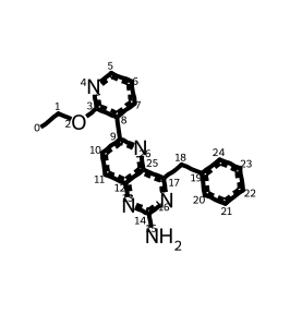 CCOc1ncccc1-c1ccc2nc(N)nc(Cc3ccccc3)c2n1